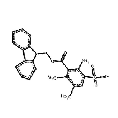 CCS(=O)(=O)c1cc(C(=O)O)c(OC)c(C(=O)OCC2c3ccccc3-c3ccccc32)c1N